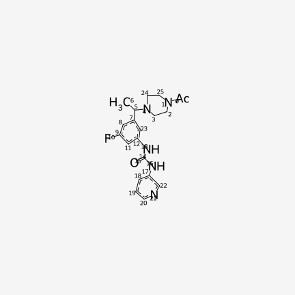 CC(=O)N1CCN(C(C)c2cc(F)cc(NC(=O)Nc3cccnc3)c2)CC1